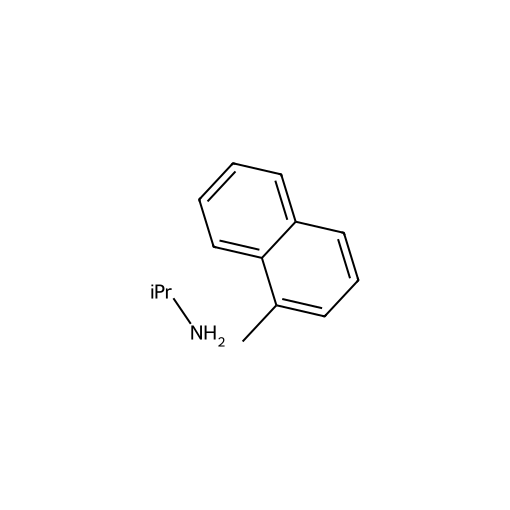 CC(C)N.Cc1cccc2ccccc12